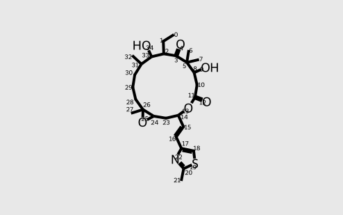 CCC1C(=O)C(C)(C)C(O)CC(=O)OC(C=Cc2csc(C)n2)CC2OC2(C)CCCC(C)C1O